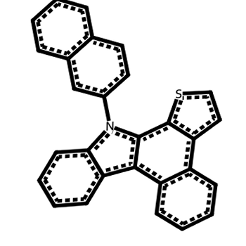 c1ccc2cc(-n3c4ccccc4c4c5ccccc5c5ccsc5c43)ccc2c1